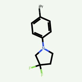 CC(C)c1ccc(N2CCC(F)(F)C2)cc1